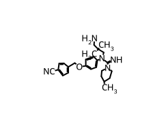 CC1CCN(C(=N)N(CC(C)(C)CN)c2ccc(OCc3ccc(C#N)cc3)cc2)CC1